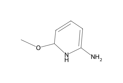 COC1C=CC=C(N)N1